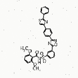 COc1cccc(OC)c1C(=O)NS(=O)(=O)c1cccc(-c2nc(-c3ccc(-c4csc(-c5ccccc5)n4)cc3)no2)c1